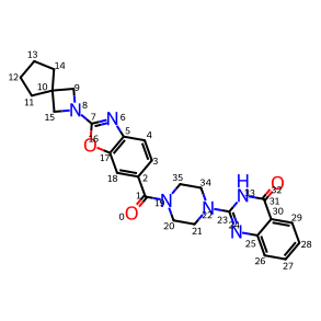 O=C(c1ccc2nc(N3CC4(CCCC4)C3)oc2c1)N1CCN(c2nc3ccccc3c(=O)[nH]2)CC1